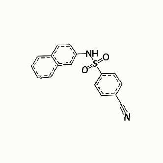 N#Cc1ccc(S(=O)(=O)Nc2ccc3ccccc3c2)cc1